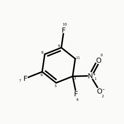 O=[N+]([O-])C1(F)C=C(F)C=C(F)C1